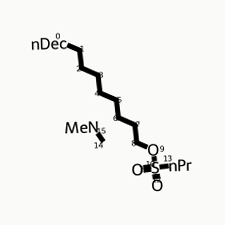 CCCCCCCCCCCCCCCCCCOS(=O)(=O)CCC.CNC